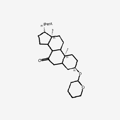 CCC[C@@H](C)C1CCC2C3C(=O)CC4C[C@H](OC5CCCCO5)CC[C@]4(C)C3CC[C@@]21C